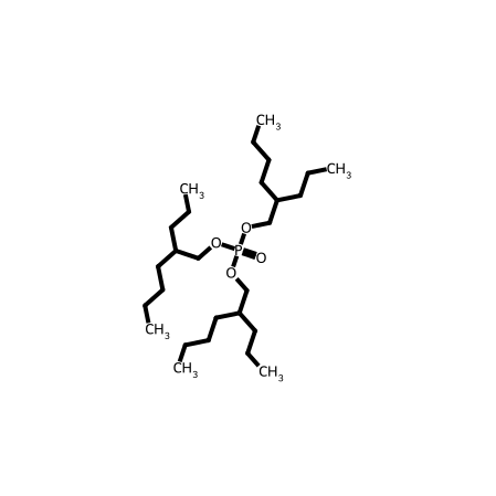 CCCCC(CCC)COP(=O)(OCC(CCC)CCCC)OCC(CCC)CCCC